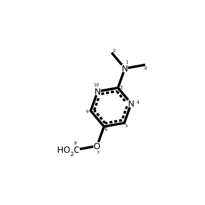 CN(C)c1ncc(OC(=O)O)cn1